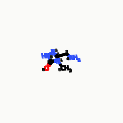 Cn1c(CN)n[nH]c1=O